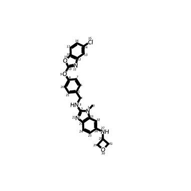 Cn1c(NCc2ccc(Oc3nc4cc(Cl)ccc4o3)cc2)nc2ccc(NC3COC3)cc21